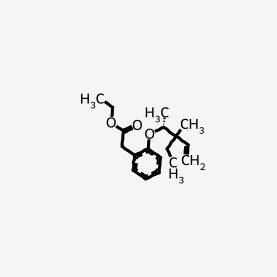 C=CC(C)(CC)[C@@H](C)Oc1ccccc1CC(=O)OCC